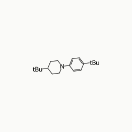 CC(C)(C)c1ccc(N2CCC(C(C)(C)C)CC2)cc1